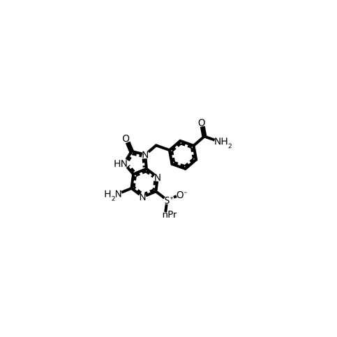 CCC[S+]([O-])c1nc(N)c2[nH]c(=O)n(Cc3cccc(C(N)=O)c3)c2n1